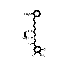 Nc1c(Cl)cc(C(O)CNCCCCCCc2ccccc2C(=O)O)cc1Cl.O=C(O)/C=C\C(=O)O